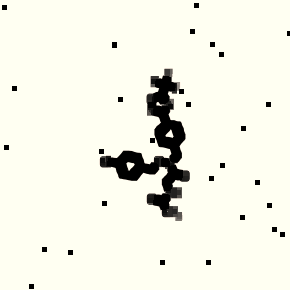 CC(=O)NCC(=O)N(Cc1ccc(-c2noc(C(F)(F)F)n2)cc1)OCc1ccc(Cl)cc1